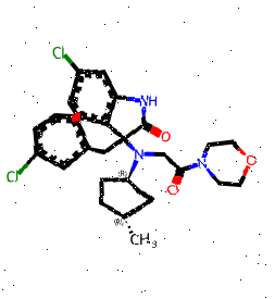 C[C@@H]1CC[C@@H](N(CC(=O)N2CCOCC2)C2(Cc3cccc(Cl)c3)C(=O)Nc3cc(Cl)ccc32)C1